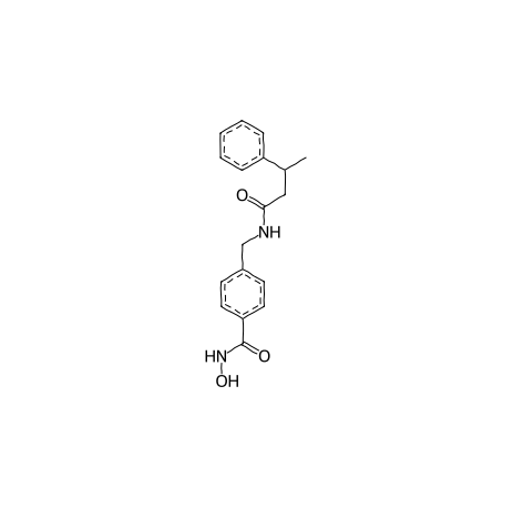 CC(CC(=O)NCc1ccc(C(=O)NO)cc1)c1ccccc1